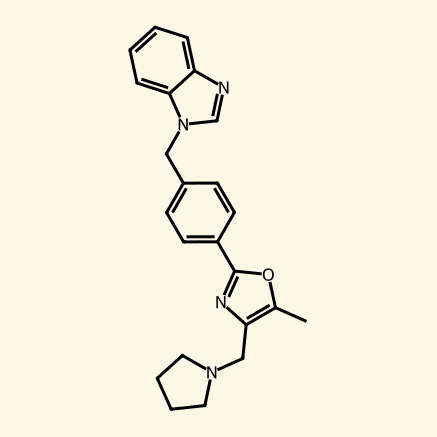 Cc1oc(-c2ccc(Cn3cnc4ccccc43)cc2)nc1CN1CCCC1